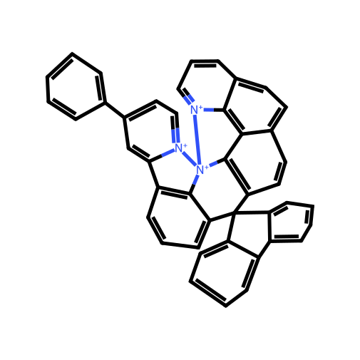 c1ccc(-c2cc[n+]3c(c2)-c2cccc4c2[N+]32c3c(ccc5ccc6ccc[n+]2c6c35)C42c3ccccc3-c3ccccc32)cc1